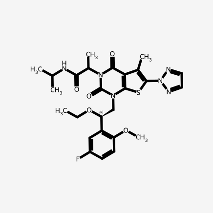 CCO[C@@H](Cn1c(=O)n(C(C)C(=O)NC(C)C)c(=O)c2c(C)c(-n3nccn3)sc21)c1cc(F)ccc1OC